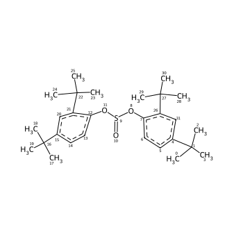 CC(C)(C)c1ccc(OS(=O)Oc2ccc(C(C)(C)C)cc2C(C)(C)C)c(C(C)(C)C)c1